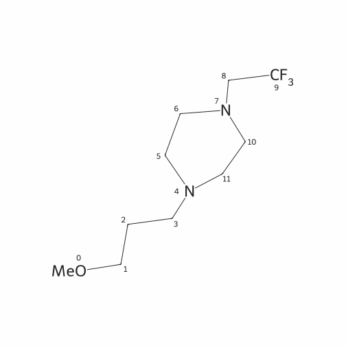 COCCCN1CCN(CC(F)(F)F)CC1